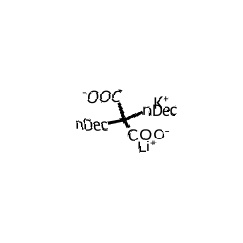 CCCCCCCCCCC(CCCCCCCCCC)(C(=O)[O-])C(=O)[O-].[K+].[Li+]